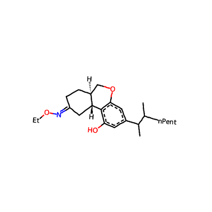 CCCCCC(C)C(C)c1cc(O)c2c(c1)OC[C@@H]1CCC(=NOCC)C[C@@H]21